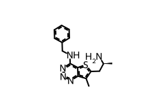 Cc1c(C[C@H](C)N)sc2c(NCc3ccccc3)nnnc12